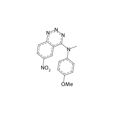 COc1ccc(N(C)c2nnnc3ccc([N+](=O)[O-])cc23)cc1